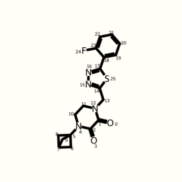 O=C1C(=O)N(C23CC(C2)C3)CCN1Cc1nnc(-c2ccccc2F)s1